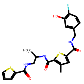 Cc1cc(C(=O)NCc2ccc(F)c(O)c2)sc1C(=O)NC(CNC(=O)c1cccs1)C(=O)O